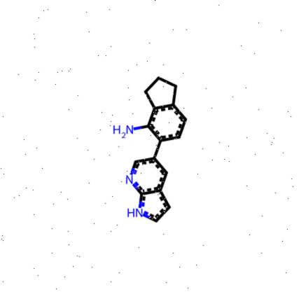 Nc1c(-c2cnc3[nH]ccc3c2)ccc2c1CCC2